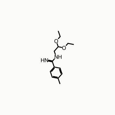 CCOC(CNC(=N)c1ccc(C)cc1)OCC